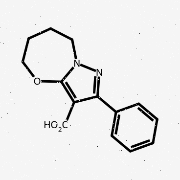 O=C(O)c1c(-c2ccccc2)nn2c1OCCCC2